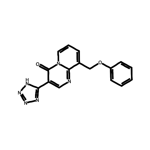 O=c1c(-c2nnn[nH]2)cnc2c(COc3ccccc3)cccn12